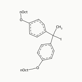 CCCCCCCCOc1ccc(C(C)(I)c2ccc(OCCCCCCCC)cc2)cc1